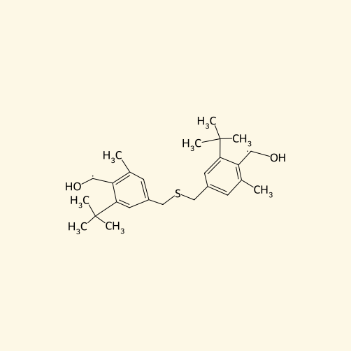 Cc1cc(CSCc2cc(C)c([CH]O)c(C(C)(C)C)c2)cc(C(C)(C)C)c1[CH]O